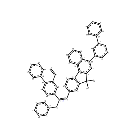 C=Cc1cc(/C(=C\c2ccc3c(c2)C(C)(C)c2cc(-c4cccc(-c5ccccn5)c4)c4ccccc4c2-3)Cc2ccccc2)ccc1-c1ccccc1